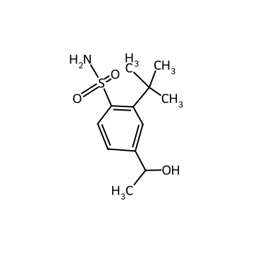 CC(O)c1ccc(S(N)(=O)=O)c(C(C)(C)C)c1